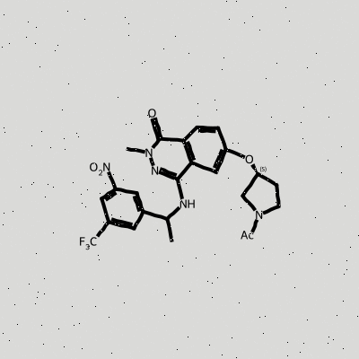 CC(=O)N1CC[C@H](Oc2ccc3c(=O)n(C)nc(NC(C)c4cc([N+](=O)[O-])cc(C(F)(F)F)c4)c3c2)C1